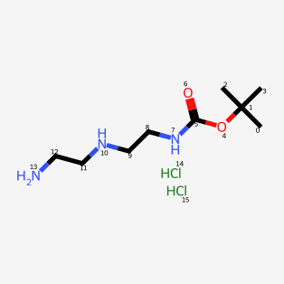 CC(C)(C)OC(=O)NCCNCCN.Cl.Cl